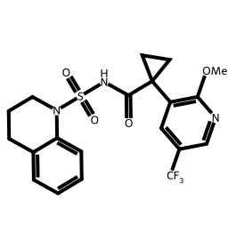 COc1ncc(C(F)(F)F)cc1C1(C(=O)NS(=O)(=O)N2CCCc3ccccc32)CC1